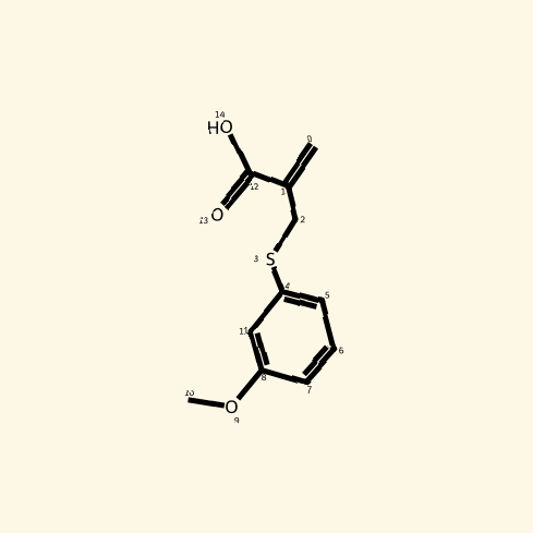 C=C(CSc1cccc(OC)c1)C(=O)O